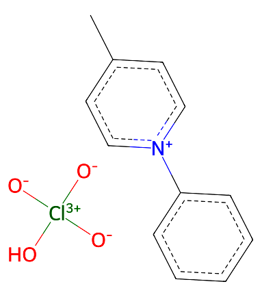 Cc1cc[n+](-c2ccccc2)cc1.[O-][Cl+3]([O-])([O-])O